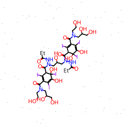 CCC(=O)NN(CC(O)CN(NC(=O)CC)C(=O)C1C(I)=C(C(=O)N(CCO)CC(O)CO)C(I)=C(O)C1(O)I)C(=O)C1C(I)=C(C(=O)N(CCO)CC(O)CO)C(I)=C(O)C1(O)I